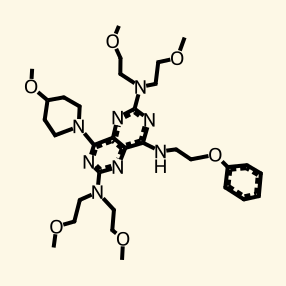 COCCN(CCOC)c1nc(N2CCC(OC)CC2)c2nc(N(CCOC)CCOC)nc(NCCOc3ccccc3)c2n1